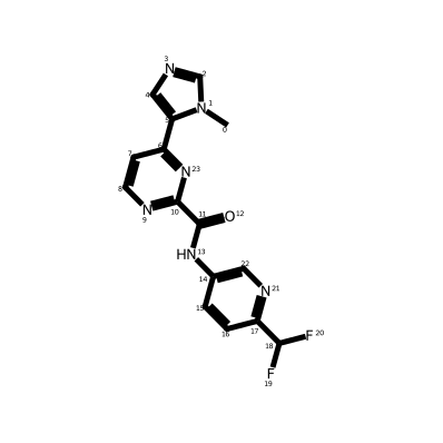 Cn1cncc1-c1ccnc(C(=O)Nc2ccc(C(F)F)nc2)n1